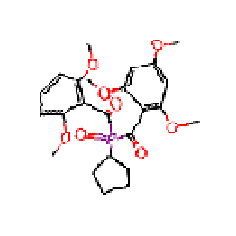 COc1cc(OC)c(C(=O)P(=O)(C(=O)c2c(OC)cccc2OC)C2CCCC2)c(OC)c1